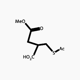 COC(=O)CC(CSC(C)=O)C(=O)O